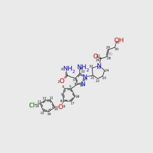 NC(=O)c1c(-c2ccc(Oc3ccc(Cl)cc3)cc2)nn(C2CCCN(C(=O)/C=C/CO)C2)c1N